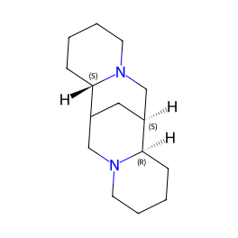 C1CCN2CC3C[C@@H](CN4CCCC[C@@H]34)[C@H]2C1